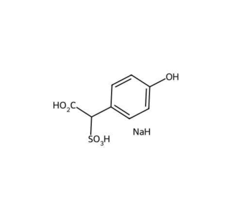 O=C(O)C(c1ccc(O)cc1)S(=O)(=O)O.[NaH]